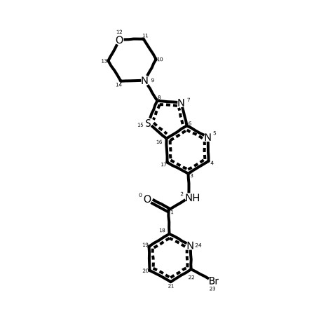 O=C(Nc1cnc2nc(N3CCOCC3)sc2c1)c1cccc(Br)n1